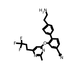 Cc1nc(CCC(F)(F)F)cc(Oc2cc(C#N)ccc2-c2ccc(CCN)cc2)n1